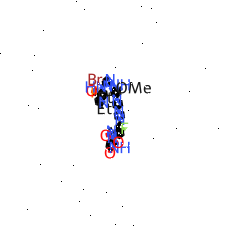 CCc1ccc2c(P(C)(C)=O)c(Nc3nc(Nc4cc(CC)c(N5CCC(N6CCN(CCc7c(F)ccc8c7n(C)c(=O)n8C7CCC(=O)NC7=O)CC6)CC5)cc4OC)ncc3Br)ccc2n1